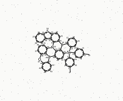 Cc1ccc([Si]2(c3ccc(C)cc3)c3ccccc3B3c4ccc5sc6ccccc6c5c4N4c5cccc6c5B(c5ccccc5O6)c5ccc2c3c54)cc1